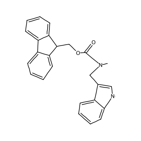 CN(CC1=C[N]c2ccccc21)C(=O)OCC1c2ccccc2-c2ccccc21